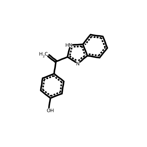 C=C(c1ccc(O)cc1)c1nc2ccccc2[nH]1